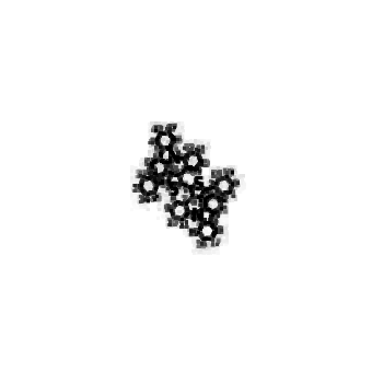 c1ccc(-c2cc(-c3ccccc3-n3c4ccccc4c4ccccc43)c(-c3sc(-c4ccccc4)cc3-c3ccccc3-n3c4ccccc4c4ccccc43)s2)cc1